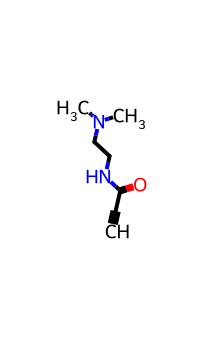 C#CC(=O)NCCN(C)C